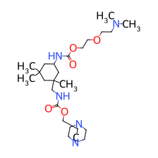 CN(C)CCOCCOC(=O)NC1CC(C)(C)CC(C)(CNC(=O)OCC2CN3CCN2CC3)C1